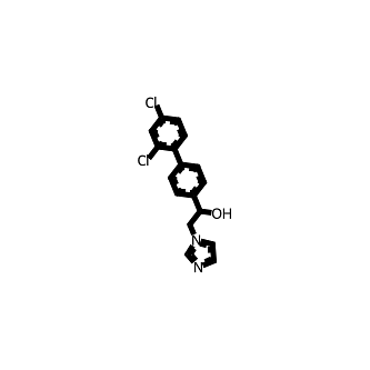 OC(Cn1ccnc1)c1ccc(-c2ccc(Cl)cc2Cl)cc1